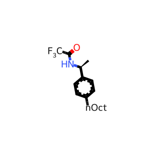 CCCCCCCCc1ccc([C@H](C)NC(=O)C(F)(F)F)cc1